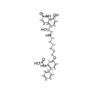 O=C(O)Nc1cc(OCCCCCCNC[C@H](O)c2ccc(O)c3[nH]c(=O)ccc23)ccc1-c1ccccc1